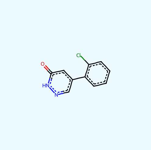 O=c1cc(-c2ccccc2Cl)cn[nH]1